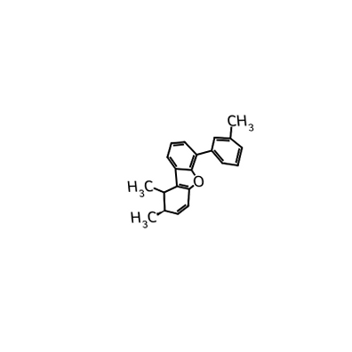 Cc1cccc(-c2cccc3c4c(oc23)C=C[C@@H](C)C4C)c1